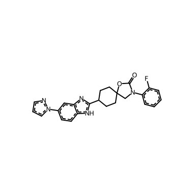 O=C1OC2(CCC(c3nc4cc(-n5cccn5)ccc4[nH]3)CC2)CN1c1ccccc1F